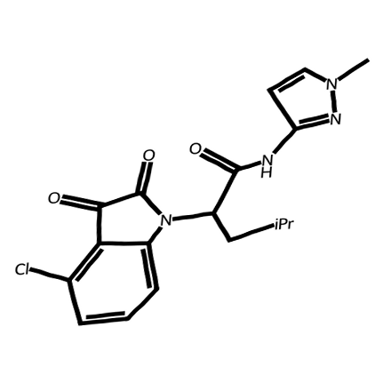 CC(C)CC(C(=O)Nc1ccn(C)n1)N1C(=O)C(=O)c2c(Cl)cccc21